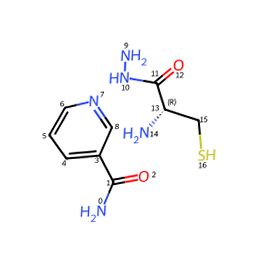 NC(=O)c1cccnc1.NNC(=O)[C@@H](N)CS